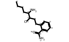 CCCCC(N)C(Cl)CCc1ccccc1C(N)=O